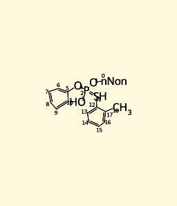 CCCCCCCCCOP(O)(Oc1ccccc1)=[SH]c1ccccc1C